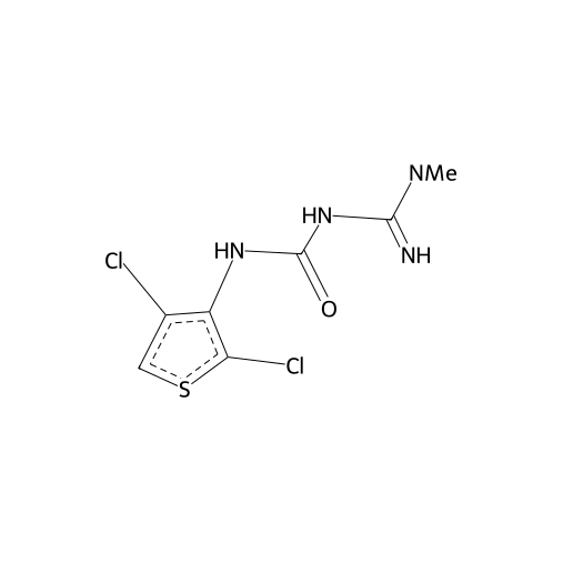 CNC(=N)NC(=O)Nc1c(Cl)csc1Cl